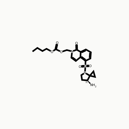 CCCCOC(=O)OCn1ccc2c(S(=O)(=O)N3CC[C@H](N)C34CC4)cccc2c1=O